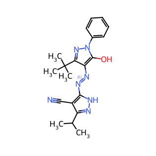 CC(C)c1n[nH]c(/N=N/c2c(C(C)(C)C)nn(-c3ccccc3)c2O)c1C#N